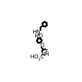 O=C(O)NCC(=CF)COc1ccc2nc(NCCc3ccccc3)oc2c1